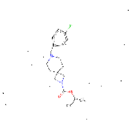 O=C(OC(C(F)(F)F)C(F)(F)F)N1CC2(CCN(Cc3ccc(Cl)cc3)CC2)C1